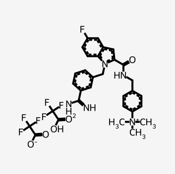 C[N+](C)(C)c1ccc(CNC(=O)c2cc3cc(F)ccc3n2Cc2cccc(C(=N)N)c2)cc1.O=C(O)C(F)(F)F.O=C([O-])C(F)(F)F